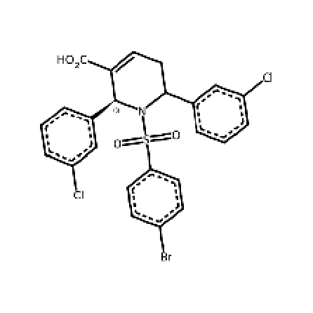 O=C(O)C1=CCC(c2cccc(Cl)c2)N(S(=O)(=O)c2ccc(Br)cc2)[C@H]1c1cccc(Cl)c1